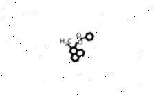 C=Cc1cc2cccc3cccc(c1=COC(=O)c1ccccc1)c32